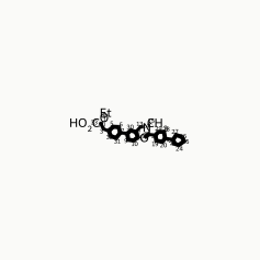 CCO[C@@H](Cc1ccc(-c2cccc(CN(C)C(=O)c3ccc(-c4ccccc4)cc3)c2)cc1)C(=O)O